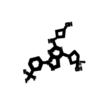 C[C@@]1(O)CCN(c2nc(N[C@H]3C[C@H](O)C3)nc3c2cnn3-c2cccc(C(F)(F)F)c2)C1